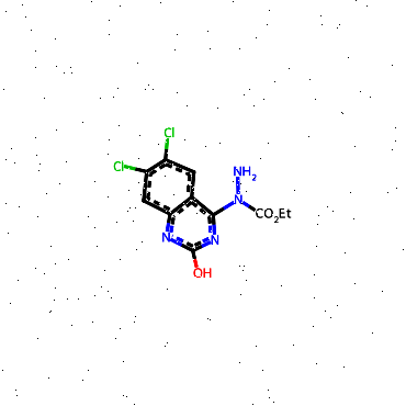 CCOC(=O)N(N)c1nc(O)nc2cc(Cl)c(Cl)cc12